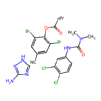 CCCC(=O)Oc1c(Br)cc(C#N)cc1Br.CN(C)C(=O)Nc1ccc(Cl)c(Cl)c1.Nc1nc[nH]n1